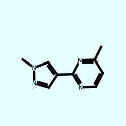 Cc1ccnc(-c2cnn(C)c2)n1